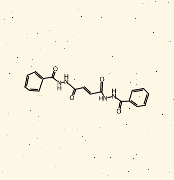 O=C(/C=C/C(=O)NNC(=O)c1ccccc1)NNC(=O)c1ccccc1